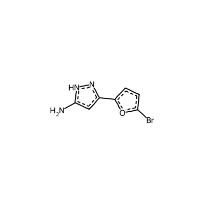 Nc1cc(-c2ccc(Br)o2)n[nH]1